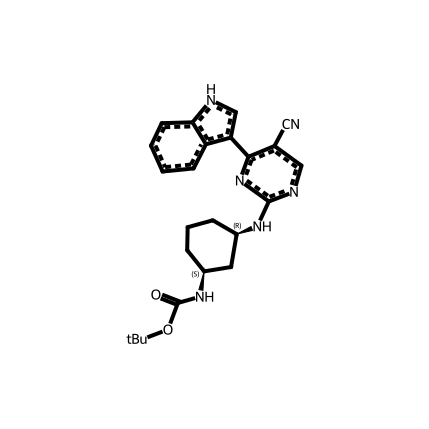 CC(C)(C)OC(=O)N[C@H]1CCC[C@@H](Nc2ncc(C#N)c(-c3c[nH]c4ccccc34)n2)C1